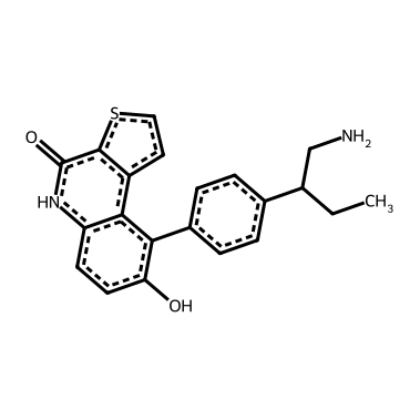 CCC(CN)c1ccc(-c2c(O)ccc3[nH]c(=O)c4sccc4c23)cc1